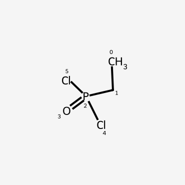 CCP(=O)(Cl)Cl